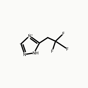 FC(F)(F)CC1=[N+][C]=NN1